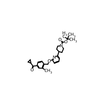 Cc1cc(C(=O)C2CC2)ccc1COc1cccc(C2CCN(C(=O)OC(C)(C)C)CC2)n1